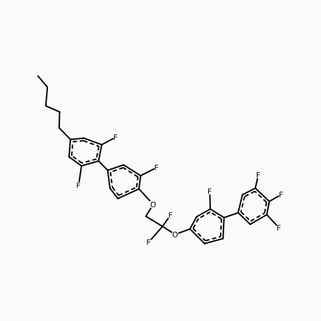 CCCCCc1cc(F)c(-c2ccc(OCC(F)(F)Oc3ccc(-c4cc(F)c(F)c(F)c4)c(F)c3)c(F)c2)c(F)c1